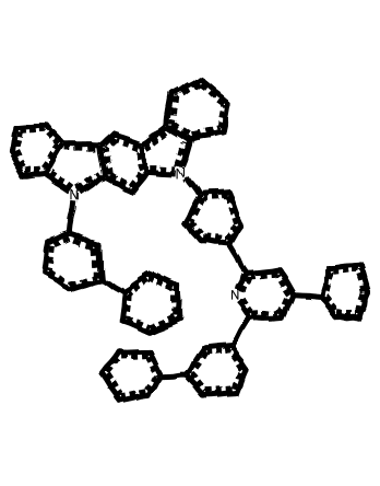 c1ccc(-c2cccc(-c3cc(-c4ccccc4)cc(-c4ccc(-n5c6ccccc6c6cc7c8ccccc8n(-c8cccc(-c9ccccc9)c8)c7cc65)cc4)n3)c2)cc1